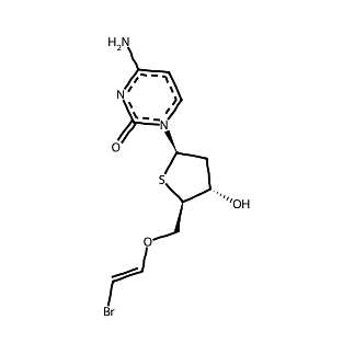 Nc1ccn([C@H]2C[C@H](O)[C@@H](CO/C=C/Br)S2)c(=O)n1